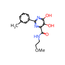 COCCNC(=O)c1nc(-c2cccc(C)c2)nc(O)c1O